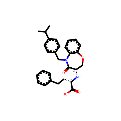 CC(C)c1ccc(CN2C(=O)[C@@H](N[C@@H](CCc3ccccc3)C(=O)O)COc3ccccc32)cc1